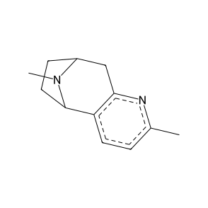 Cc1ccc2c(n1)CC1CCC2N1C